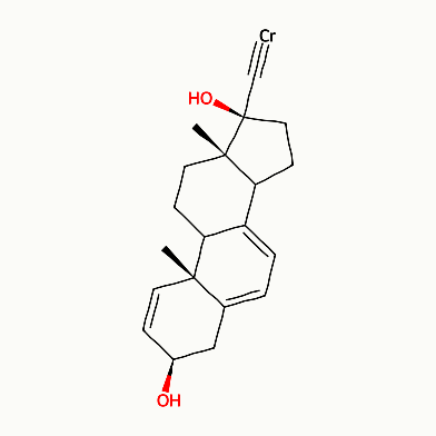 C[C@]12C=C[C@H](O)CC1=CC=C1C2CC[C@@]2(C)C1CC[C@@]2(O)[C]#[Cr]